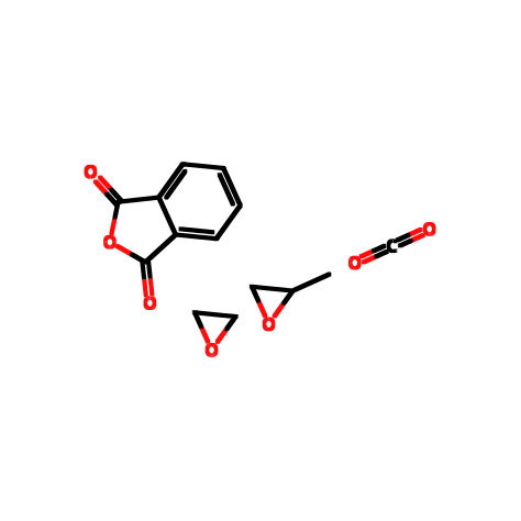 C1CO1.CC1CO1.O=C1OC(=O)c2ccccc21.O=C=O